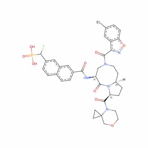 CCc1ccc2onc(C(=O)N3CC[C@H]4CC[C@@H](C(=O)N5CCOCC56CC6)N4C(=O)[C@@H](NC(=O)c4ccc5ccc(C(F)P(=O)(O)O)cc5c4)C3)c2c1